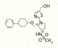 CS(=O)(=O)N[C@H]1CCN(c2ncc(CO)s2)[C@H]1COC1CCC(c2ccccc2)CC1